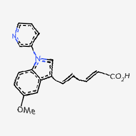 COc1ccc2c(c1)c(C=CC=CC(=O)O)cn2-c1cccnc1